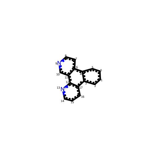 c1ccc2c(c1)c1ccncc1c1ncccc21